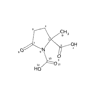 CC1(C(=O)O)CCC(=O)N1C(=O)O